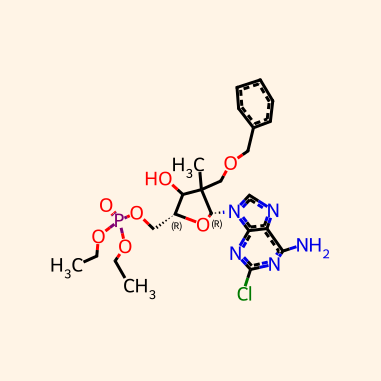 CCOP(=O)(OCC)OC[C@H]1O[C@@H](n2cnc3c(N)nc(Cl)nc32)C(C)(COCc2ccccc2)C1O